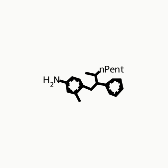 CCCCCC(C)C(Cc1ccc(N)cc1C)c1ccccc1